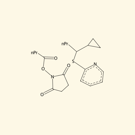 CCCC(=O)ON1C(=O)CCC1=O.CCCC(Sc1ccccn1)C1CC1